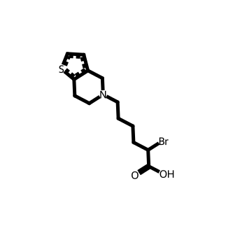 O=C(O)C(Br)CCCCN1CCc2sccc2C1